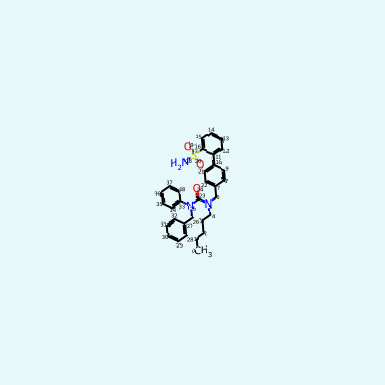 CCCCCN(Cc1ccc(-c2ccccc2S(N)(=O)=O)cc1)C(=O)N(Cc1ccccc1)c1ccccc1